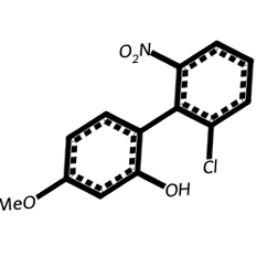 COc1ccc(-c2c(Cl)cccc2[N+](=O)[O-])c(O)c1